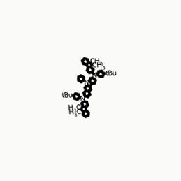 CC(C)(C)c1ccc(N(c2ccc3c(c2)C(C)(C)c2ccccc2-3)c2ccc3cc4c5ccc(N(c6ccc(C(C)(C)C)cc6)c6ccc7c(c6)C(C)(C)c6ccccc6-7)cc5n(-c5ccccc5)c4cc3c2)cc1